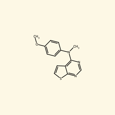 COc1ccc(N(C)c2ncnc3sccc23)cc1